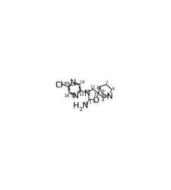 NC1OC2(CN3CCC2CC3)CN1c1cnc(Cl)cn1